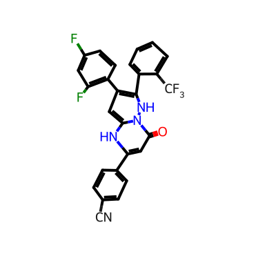 N#Cc1ccc(C2=CC(=O)N3NC(c4ccccc4C(F)(F)F)=C(c4ccc(F)cc4F)C=C3N2)cc1